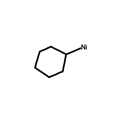 [Ni][CH]1CCCCC1